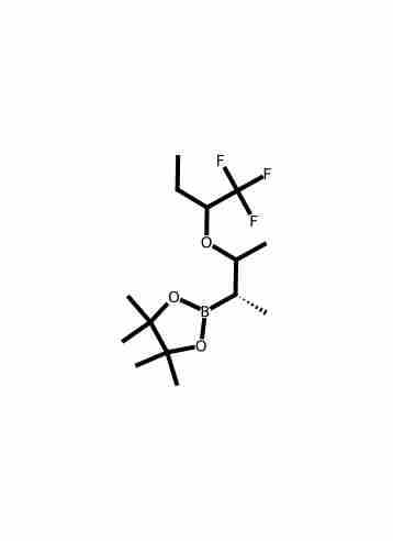 CCC(OC(C)[C@H](C)B1OC(C)(C)C(C)(C)O1)C(F)(F)F